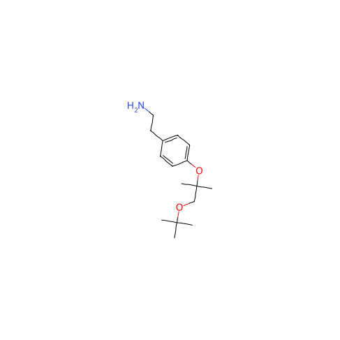 CC(C)(C)OCC(C)(C)Oc1ccc(CCN)cc1